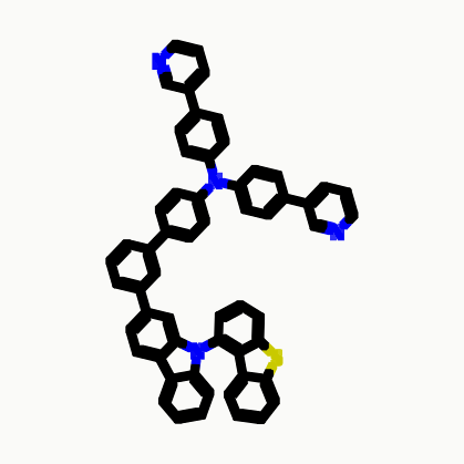 c1cncc(-c2ccc(N(c3ccc(-c4cccnc4)cc3)c3ccc(-c4cccc(-c5ccc6c7ccccc7n(-c7cccc8sc9ccccc9c78)c6c5)c4)cc3)cc2)c1